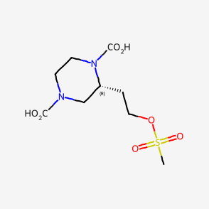 CS(=O)(=O)OCC[C@@H]1CN(C(=O)O)CCN1C(=O)O